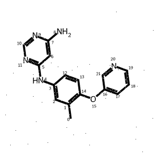 Cc1cc(Nc2cc(N)ncn2)ccc1Oc1cccnc1